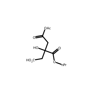 CCCOC(=O)C(O)(CC(=O)O)CC(=O)OC(C)=O